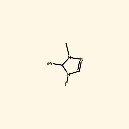 CCCC1N(F)C=NN1C